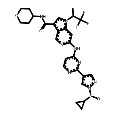 CC(n1cc(C(=O)NC2CCOCC2)c2cnc(Nc3ccnc(-c4cnn([S+]([O-])C5CC5)c4)n3)cc21)C(F)(F)F